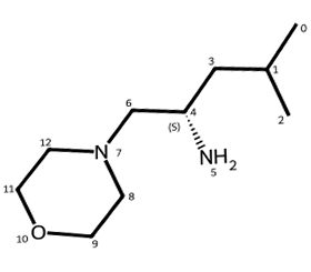 CC(C)C[C@H](N)CN1CCOCC1